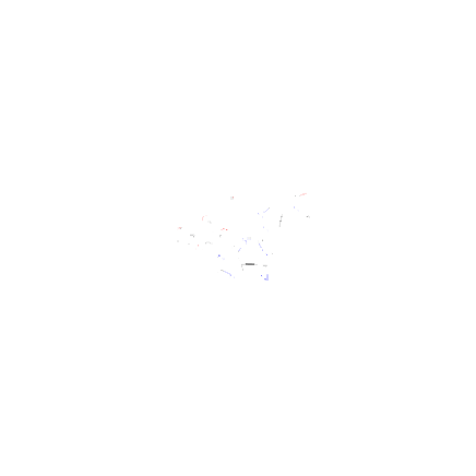 CN(C=O)c1cnn(-c2nc(N)c3ncn([C@@H]4O[C@H](CO)[C@@H](O)[C@H]4O)c3n2)c1.O